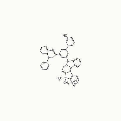 CC1(C)C2=C(C=CC3=C[C@@H]32)c2c1ccc1c2c2ccccc2n1-c1cc(-c2cccc(C#N)c2)cc(-c2cc(-c3ccccc3)c3ccccc3n2)c1